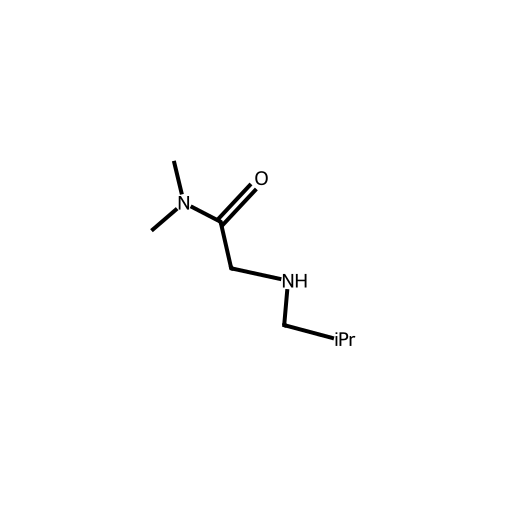 CC(C)CNCC(=O)N(C)C